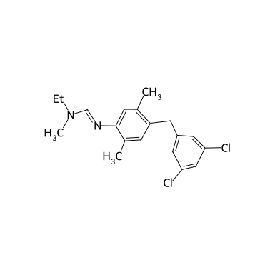 CCN(C)C=Nc1cc(C)c(Cc2cc(Cl)cc(Cl)c2)cc1C